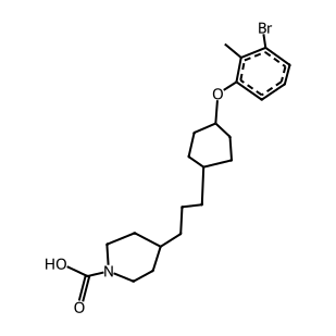 Cc1c(Br)cccc1OC1CCC(CCCC2CCN(C(=O)O)CC2)CC1